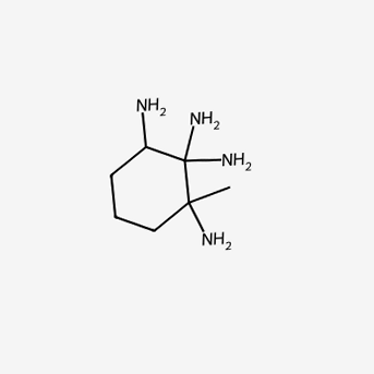 CC1(N)CCCC(N)C1(N)N